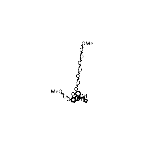 COCCOCCOCCOCCOCCOCCOCCO[C@H]1CC[C@@]2(O)[C@H]3Cc4ccc(OCOCCOC)c5c4[C@@]2(CCN3CC2CCC2)C1O5